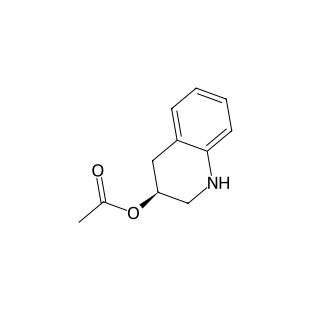 CC(=O)O[C@@H]1CNc2ccccc2C1